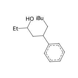 CCC(C)CC(CC(O)CC)c1ccccc1